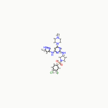 CCN1CCN(c2cc(Nc3cc(C)[nH]n3)nc(N[C@H]3CCN(S(=O)(=O)c4ccc(Cl)c(F)c4)C3)n2)CC1